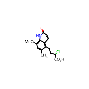 COc1cc(C)c(CCC(Cl)C(=O)O)c2ccc(=O)[nH]c12